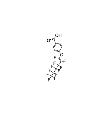 O=C(O)c1ccc(OC(F)=C(F)C(F)(F)C(F)(F)C(F)(F)C(F)(F)F)cc1